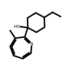 CCC1CCC(O)(C2=NC=CC=C=C2C)CC1